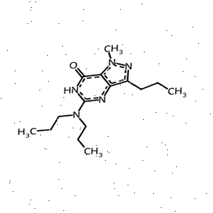 CCCc1nn(C)c2c(=O)[nH]c(N(CCC)CCC)nc12